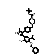 Cc1[nH]nc(-c2cc(C(C)C)c(OCc3ccccc3)cc2O)c1-c1ccc(CN2CCN(C(=O)OC(C)(C)C)CC2)cc1